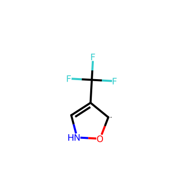 FC(F)(F)C1=CNO[CH]1